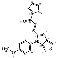 COc1ccc(-n2c(C=CC(=O)c3cccs3)nc3csnc32)cc1